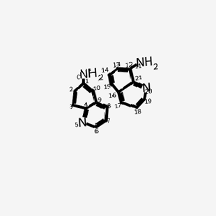 Nc1ccc2ncccc2c1.Nc1cccc2cccnc12